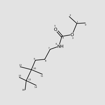 CC(C)OC(=O)NCCCC(C)(C)C(C)(C)C